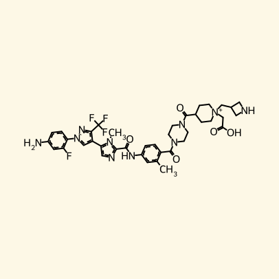 Cc1cc(NC(=O)c2ncc(-c3cn(-c4ccc(N)cc4F)nc3C(F)(F)F)n2C)ccc1C(=O)N1CCN(C(=O)C2CC[N+](CC(=O)O)(CC3CNC3)CC2)CC1